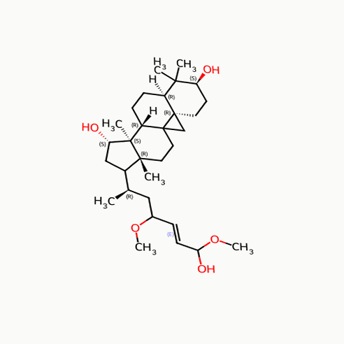 COC(O)/C=C/C(C[C@@H](C)C1C[C@H](O)[C@@]2(C)[C@@H]3CC[C@H]4C(C)(C)[C@@H](O)CC[C@@]45CC35CC[C@]12C)OC